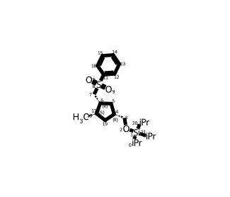 CC(C)[Si](OC[C@H]1C[C@@H](CS(=O)(=O)c2ccccc2)[C@@H](C)C1)(C(C)C)C(C)C